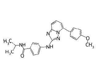 COc1ccc(-c2cccc3nc(Nc4ccc(C(=O)NC(C)C)cc4)nn23)cc1